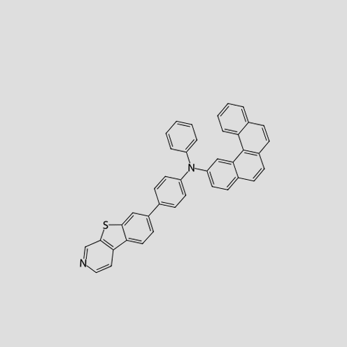 c1ccc(N(c2ccc(-c3ccc4c(c3)sc3cnccc34)cc2)c2ccc3ccc4ccc5ccccc5c4c3c2)cc1